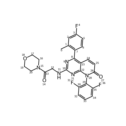 Cc1cc(F)ccc1-c1nc(NCC(=O)N2CCOCC2)nc2c1ccc(=O)n2-c1c(F)cccc1F